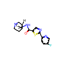 O=C(N[C@H]1CN2CCC1CC2)c1cnc(-c2ccc(F)cn2)s1